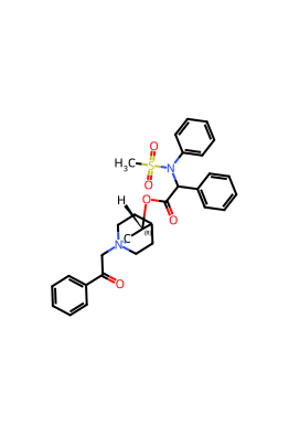 CS(=O)(=O)N(c1ccccc1)C(C(=O)O[C@H]1C[N+]2(CC(=O)c3ccccc3)CCC1CC2)c1ccccc1